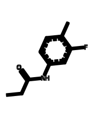 CCC(=O)Nc1ccc(C)c(F)c1